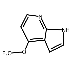 FC(F)(F)Oc1ccnc2[nH]ccc12